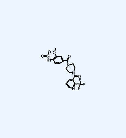 COc1cc(C(=O)N2CCN(C(=O)c3cccnc3C(F)(F)F)CC2)ccc1N[SH](=O)=O